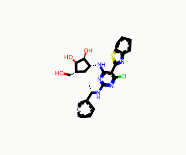 C[C@H](Nc1nc(Cl)c(-c2nc3ccccc3s2)c(N[C@@H]2C[C@H](CO)[C@@H](O)[C@H]2O)n1)c1ccccc1